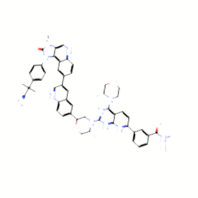 CNC(=O)c1cccc(-c2ccc3c(N4CCOC[C@@H]4C)nc(N4CC(c5ccc6ncc(-c7ccc8ncc9c(c8c7)n(-c7ccc(C(C)(C)C#N)cc7)c(=O)n9C)cc6c5)OC[C@@H]4C)nc3n2)c1